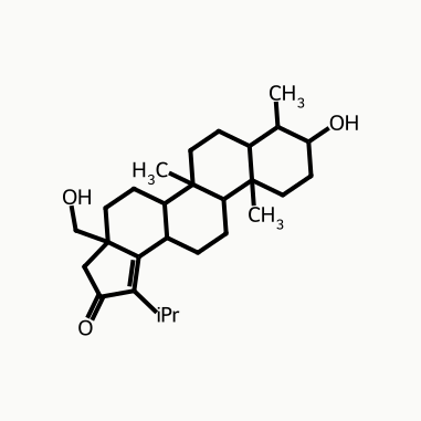 CC(C)C1=C2C3CCC4C(C)(CCC5C(C)C(O)CCC54C)C3CCC2(CO)CC1=O